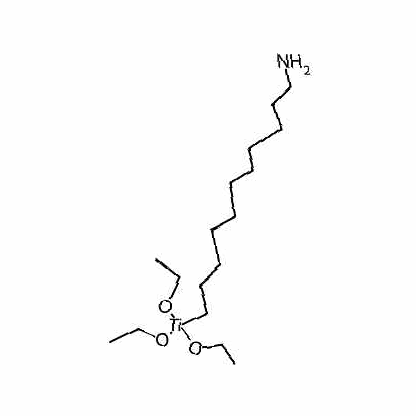 CC[O][Ti]([CH2]CCCCCCCCCCN)([O]CC)[O]CC